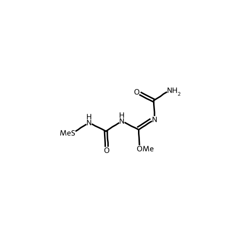 COC(=NC(N)=O)NC(=O)NSC